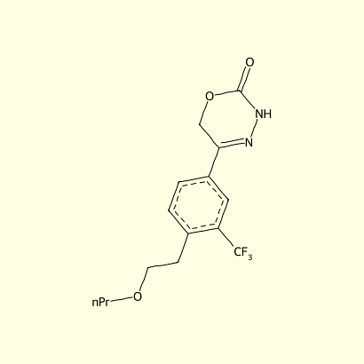 CCCOCCc1ccc(C2=NNC(=O)OC2)cc1C(F)(F)F